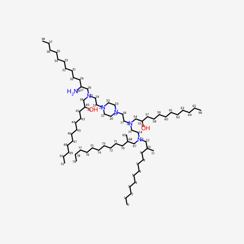 CCCCCCCCCCC(C)CN(CCN(CCN1CCN(CCN(CC(N)CCCCCCCCCC)CC(O)CCCCCCCCCC)CC1)CC(O)CCCCCCCCCC)CC(C)CCCCCCCCCC